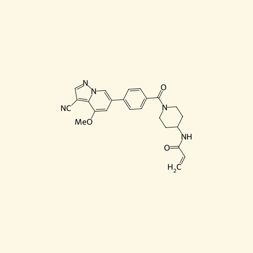 C=CC(=O)NC1CCN(C(=O)c2ccc(-c3cc(OC)c4c(C#N)cnn4c3)cc2)CC1